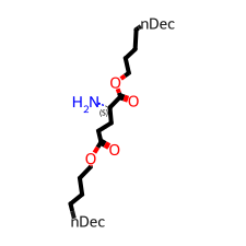 CCCCCCCCCCCCCCOC(=O)CC[C@H](N)C(=O)OCCCCCCCCCCCCCC